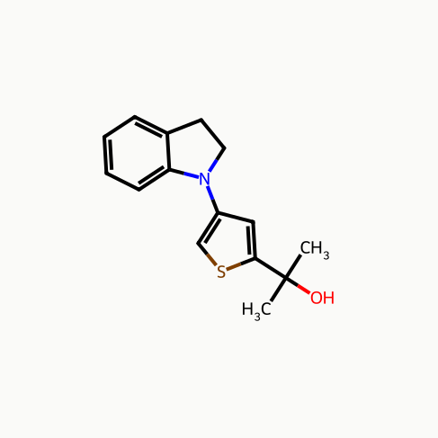 CC(C)(O)c1cc(N2CCc3ccccc32)cs1